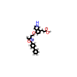 COC(=O)CCc1ccc(OCCc2nc(-c3ccc(-c4ccccc4)cc3)oc2C)c2c1CNCC2